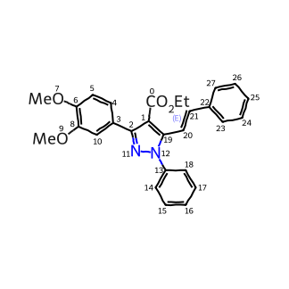 CCOC(=O)c1c(-c2ccc(OC)c(OC)c2)nn(-c2ccccc2)c1/C=C/c1ccccc1